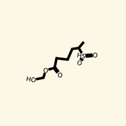 CC(CCCC(=O)OCO)[SH](=O)=O